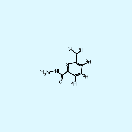 [3H]c1c(C(=O)NN)nc(C([3H])[3H])c([3H])c1[3H]